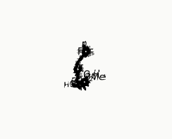 COc1ccc2ncc(CO)c([C@@H](F)CCC3(C(=O)O)CCN(CC#Cc4cc(F)cc(F)c4F)CC3)c2c1